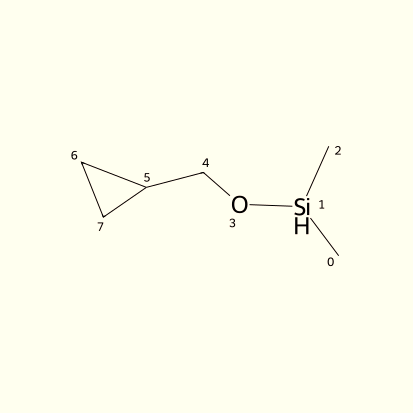 C[SiH](C)OCC1CC1